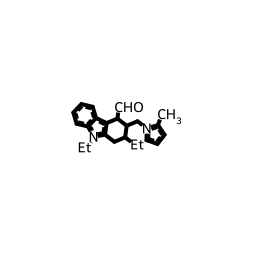 CCC1Cc2c(c3ccccc3n2CC)C(C=O)C1Cn1cccc1C